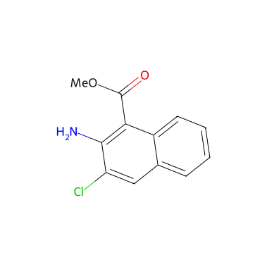 COC(=O)c1c(N)c(Cl)cc2ccccc12